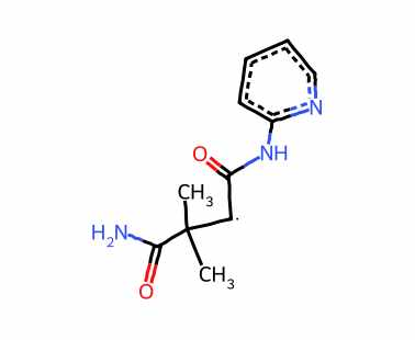 CC(C)([CH]C(=O)Nc1ccccn1)C(N)=O